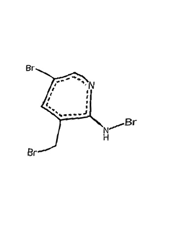 BrCc1cc(Br)cnc1NBr